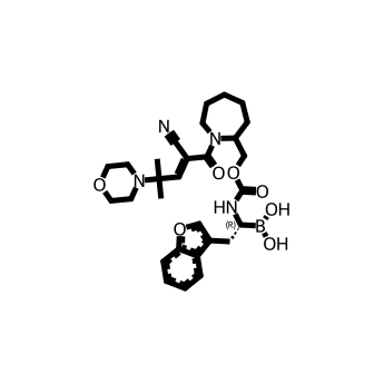 CC(C)(C=C(C#N)C(=O)N1CCCCCC1COC(=O)N[C@@H](Cc1coc2ccccc12)B(O)O)N1CCOCC1